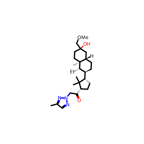 CC[C@H]1[C@H]([C@@H]2CC[C@H](C(=O)Cn3ncc(C)n3)C2(C)C)CC[C@H]2C[C@@](O)(COC)CC[C@@]21C